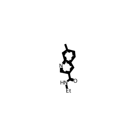 CCNC(=O)c1cnc2cc(C)ccc2c1